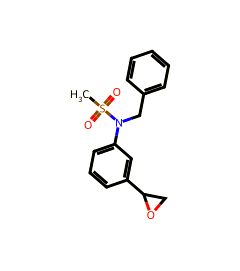 CS(=O)(=O)N(Cc1ccccc1)c1cccc(C2CO2)c1